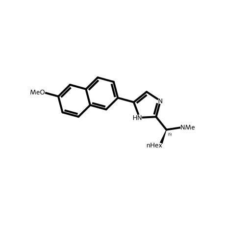 CCCCCC[C@H](NC)c1ncc(-c2ccc3cc(OC)ccc3c2)[nH]1